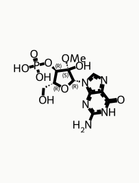 CO[C@@]1(O)[C@H](OP(=O)(O)O)[C@@H](CO)O[C@H]1n1cnc2c(=O)[nH]c(N)nc21